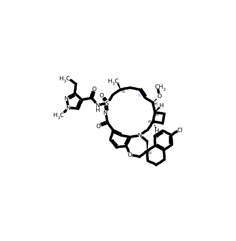 CCc1nn(C)cc1C(=O)NS1(=O)=NC(=O)c2ccc3c(c2)N(C[C@@H]2CC[C@H]2[C@@H](OC)/C=C/C[C@H](C)C1)C[C@@]1(CCCc2cc(Cl)ccc21)CO3